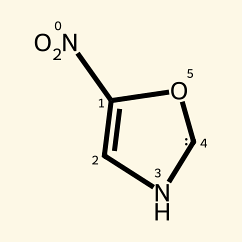 O=[N+]([O-])C1=CN[C]O1